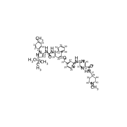 Cc1ccc(-n2nc(C(C)(C)C)cc2NC(=O)Nc2ccc(OCc3ccnc(Nc4cnc(C(=O)NCC5CCN(C)CC5)cn4)c3)c3ccccc23)cc1